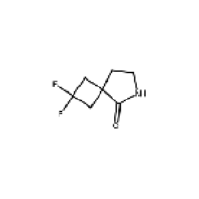 O=C1NCCC12CC(F)(F)C2